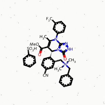 COC(=O)C1=C(C)N(c2cccc(C(F)(F)F)c2)c2n[nH]c(=O)n2[C@@H]1c1ccc(C#N)cc1C[N+](C)(C)Cc1ccccc1.O=S(=O)(O)c1ccccc1